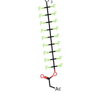 CC(=O)CC(=O)OC(F)(F)C(F)(F)C(F)(F)C(F)(F)C(F)(F)C(F)(F)C(F)(F)C(F)(F)C(F)(F)C(F)(F)F